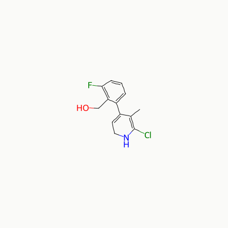 CC1=C(Cl)NCC=C1c1cccc(F)c1CO